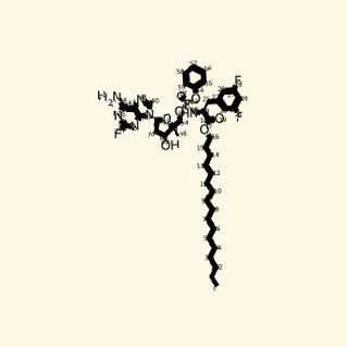 CCCCCCCCCCCCCCCCCOC(=O)[C@H](Cc1cc(F)cc(F)c1)N[P@](=O)(OC[C@@]1(C)O[C@@H](n2cnc3c(N)nc(F)nc32)C[C@@H]1O)Oc1ccccc1